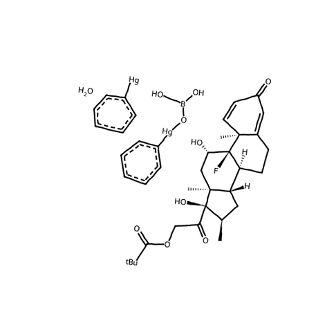 C[C@@H]1C[C@H]2[C@@H]3CCC4=CC(=O)C=C[C@]4(C)[C@@]3(F)[C@@H](O)C[C@]2(C)[C@@]1(O)C(=O)COC(=O)C(C)(C)C.O.OB(O)[O][Hg][c]1ccccc1.[Hg][c]1ccccc1